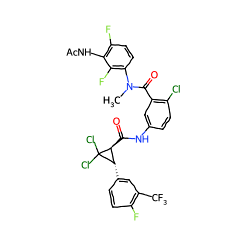 CC(=O)Nc1c(F)ccc(N(C)C(=O)c2cc(NC(=O)[C@H]3[C@H](c4ccc(F)c(C(F)(F)F)c4)C3(Cl)Cl)ccc2Cl)c1F